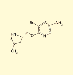 CN1C[C@@H](COc2ncc(N)cc2Br)NS1